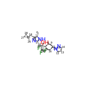 Cc1[nH]c(CC(O)(c2ccc(-n3cccn3)cc2)C(F)(F)F)nc1CC1(C)CC1